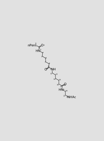 CCCCCC(=O)NCCCCCC(=O)NCCCCCC(=O)NCCNC(C)=O